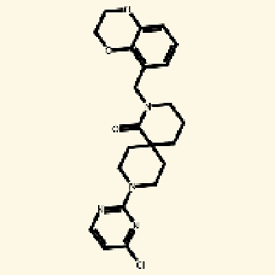 O=C1N(Cc2cccc3c2OCCO3)CCCC12CCN(c1nccc(Cl)n1)CC2